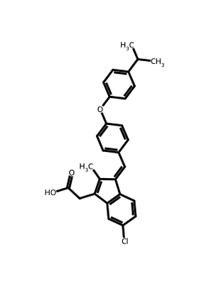 CC1=C(CC(=O)O)c2cc(Cl)ccc2/C1=C/c1ccc(Oc2ccc(C(C)C)cc2)cc1